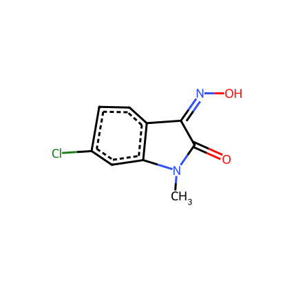 CN1C(=O)C(=NO)c2ccc(Cl)cc21